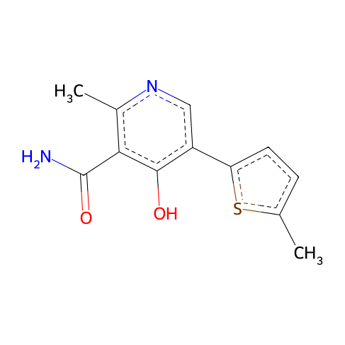 Cc1ccc(-c2cnc(C)c(C(N)=O)c2O)s1